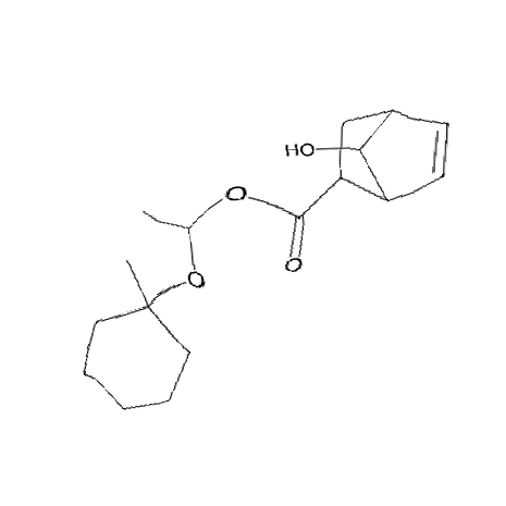 CC(OC(=O)C1CC2C=CC1C2O)OC1(C)CCCCC1